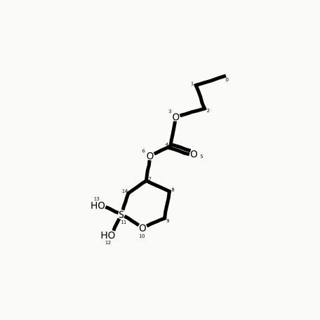 CCCOC(=O)OC1CCOS(O)(O)C1